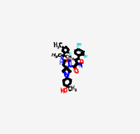 Cc1ccc(F)c(C(C)(C)NC(=O)CC2(NC(=O)c3cc(-c4ccc(F)cc4F)on3)CN(C3CCC(C)(O)CC3)C2)c1